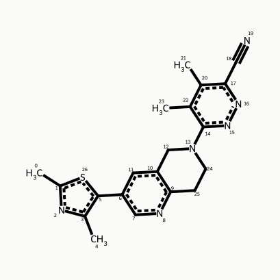 Cc1nc(C)c(-c2cnc3c(c2)CN(c2nnc(C#N)c(C)c2C)CC3)s1